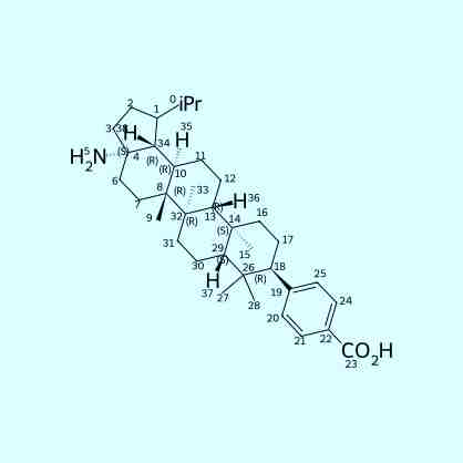 CC(C)C1CC[C@]2(N)CC[C@]3(C)[C@H](CC[C@@H]4[C@@]5(C)CC[C@@H](c6ccc(C(=O)O)cc6)C(C)(C)[C@@H]5CC[C@]43C)[C@@H]12